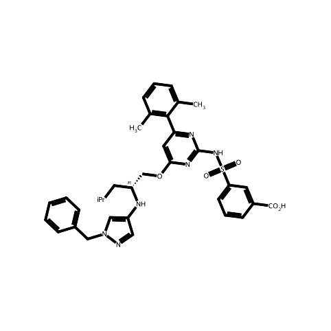 Cc1cccc(C)c1-c1cc(OC[C@@H](CC(C)C)Nc2cnn(Cc3ccccc3)c2)nc(NS(=O)(=O)c2cccc(C(=O)O)c2)n1